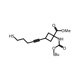 COC(=O)C1(NC(=O)OC(C)(C)C)CC(C#CCCCS)C1